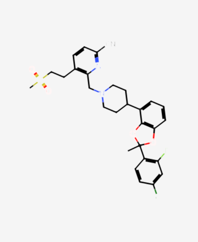 CC1(c2ccc(Cl)cc2F)Oc2cccc(C3CCN(Cc4nc(C#N)ccc4CCS(C)(=O)=O)CC3)c2O1